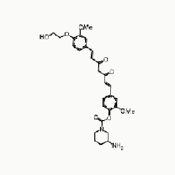 COc1cc(C=CC(=O)CC(=O)C=Cc2ccc(OC(=O)N3CCCC(N)C3)c(OC)c2)ccc1OCCO